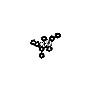 c1ccc(-c2ccc(N(c3ccccc3)c3nc(-c4cc(-c5ccccc5)cc5c4oc4cc6ccccc6cc45)c4ccccc4n3)cc2)cc1